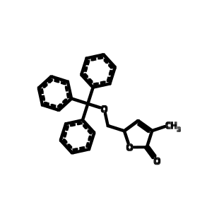 CC1=CC(COC(c2ccccc2)(c2ccccc2)c2ccccc2)OC1=O